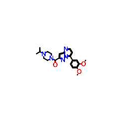 COc1ccc(-c2ccnc3cc(C(=O)N4CCN(C(C)C)CC4)nn23)cc1OC